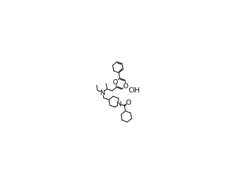 CCN(CC1CCN(C(=O)C2CCCCC2)CC1)C(C)CC1=COC=C(C2=CC=CCC2)O1.Cl